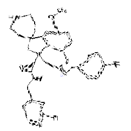 O=C(NCc1ccnc(Cl)c1)[N+]1(C/C=C/c2ccc(F)cc2)CC2(CCNCC2)c2c(OC(F)(F)F)ccc(Cl)c21